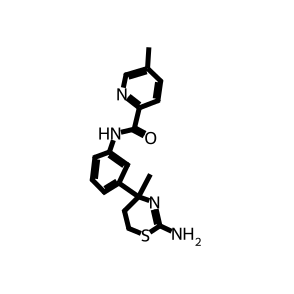 Cc1ccc(C(=O)Nc2cccc(C3(C)CCSC(N)=N3)c2)nc1